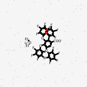 CCOCC.O=C([O-])c1cc(Oc2c(F)c(F)c(F)c(F)c2F)c(Oc2c(F)c(F)c(F)c(F)c2F)c(Oc2c(F)c(F)c(F)c(F)c2F)c1-c1c(F)c(F)c(F)c(F)c1F.[Li+]